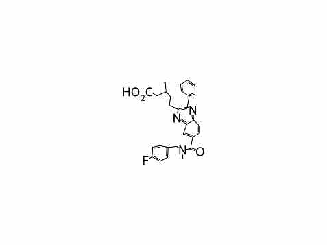 C[C@@H](CCc1nc2cc(C(=O)N(C)Cc3ccc(F)cc3)ccc2nc1-c1ccccc1)CC(=O)O